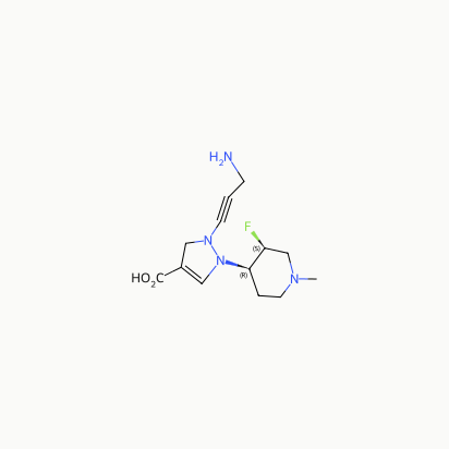 CN1CC[C@@H](N2C=C(C(=O)O)CN2C#CCN)[C@@H](F)C1